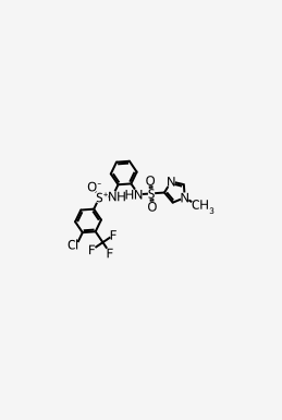 Cn1cnc(S(=O)(=O)Nc2ccccc2N[S+]([O-])c2ccc(Cl)c(C(F)(F)F)c2)c1